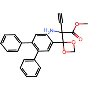 C#CC(N)(C(=O)OC)C1(c2ccc(-c3ccccc3)c(-c3ccccc3)c2)OCO1